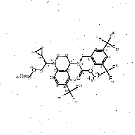 COC(=O)N(Cc1cc(C(F)(F)F)cc(C(F)(F)F)c1)C1CCN(C(COC=O)C2CC2)c2ccc(C(F)(F)F)cc21